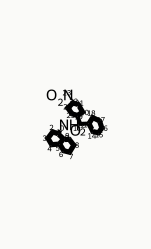 Nc1cccc2ccccc12.O=C(c1ccccc1)c1ccc([N+](=O)[O-])cc1